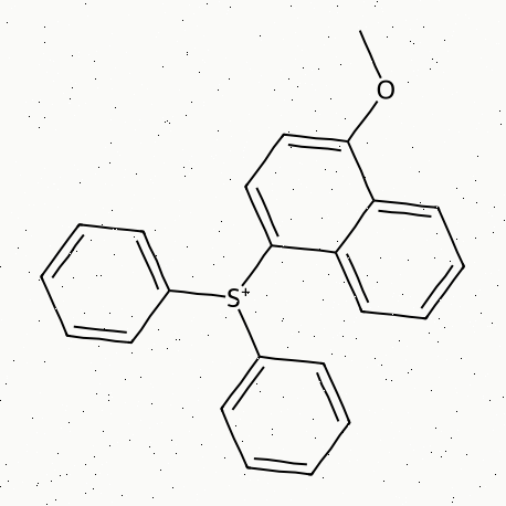 COc1ccc([S+](c2ccccc2)c2ccccc2)c2ccccc12